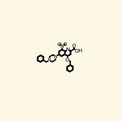 O=C(O)c1cc(OCc2ccccc2)c2cc(N3CCN(Cc4ccccc4)CC3)cc([N+](=O)[O-])c2n1